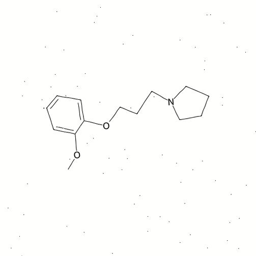 COc1c[c]ccc1OCCCN1CCCC1